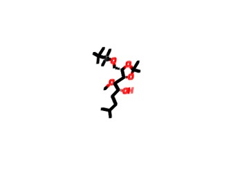 CO[C@H]([C@H]1OC(C)(C)O[C@H]1CO[Si](C)(C)C(C)(C)C)[C@H](O)CCC(C)C